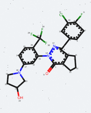 O=c1c2c(c(-c3ccc(F)c(Cl)c3)nn1-c1cc(N3CCC(O)C3)ccc1C(F)(F)F)CCC2